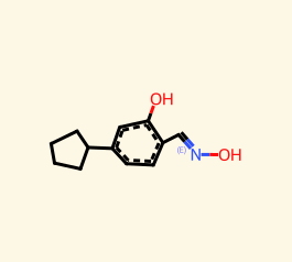 O/N=C/c1ccc(C2CCCC2)cc1O